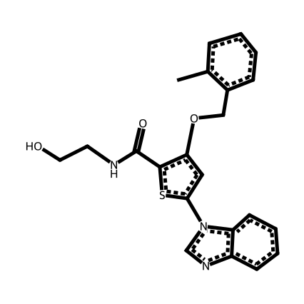 Cc1ccccc1COc1cc(-n2cnc3ccccc32)sc1C(=O)NCCO